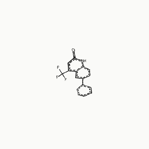 O=c1cc(C(F)(F)F)c2cc(-c3ccccc3)ccc2[nH]1